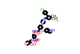 CC1(C)CCC(CN2CCN(c3ccc(C(=O)NS(=O)(=O)c4ccc(NCC5(CO)CCOCC5)c([N+](=O)[O-])c4)c(Oc4ccc5[nH]ccc5c4)c3)CC2)=C(c2ccc(Cl)cc2)C1